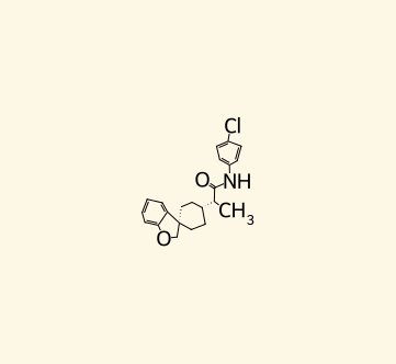 CC(C(=O)Nc1ccc(Cl)cc1)[C@H]1CC[C@]2(CC1)COc1ccccc12